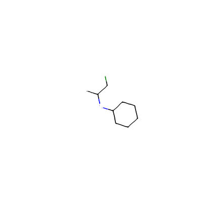 CCCCC(CCl)NC1CCCCC1